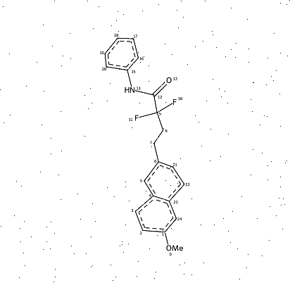 COc1ccc2cc(CCC(F)(F)C(=O)Nc3ccccc3)ccc2c1